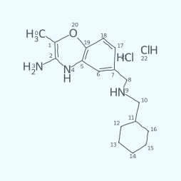 CC1=C(N)Nc2cc(CNCC3CCCCC3)ccc2O1.Cl.Cl